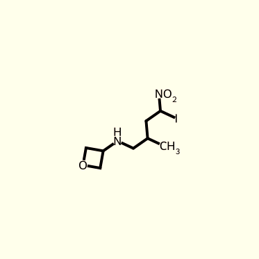 CC(CNC1COC1)CC(I)[N+](=O)[O-]